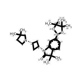 CC1(C)CCN([C@H]2C[C@@H](N3C(=O)C(C)(C)c4ccc(B5OC(C)(C)C(C)(C)O5)cc43)C2)C1